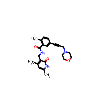 Cc1cc(C)c(CNC(=O)c2cc(C#CCN3CCOCC3)ccc2C)c(=O)[nH]1